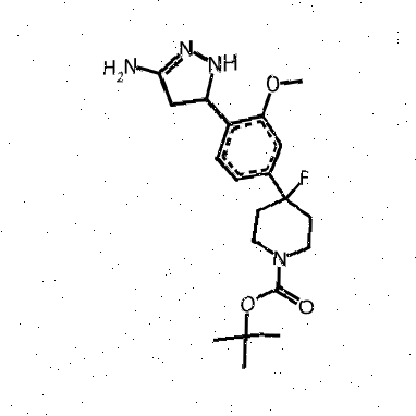 COc1cc(C2(F)CCN(C(=O)OC(C)(C)C)CC2)ccc1C1CC(N)=NN1